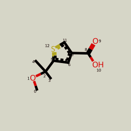 COC(C)(C)c1cc(C(=O)O)cs1